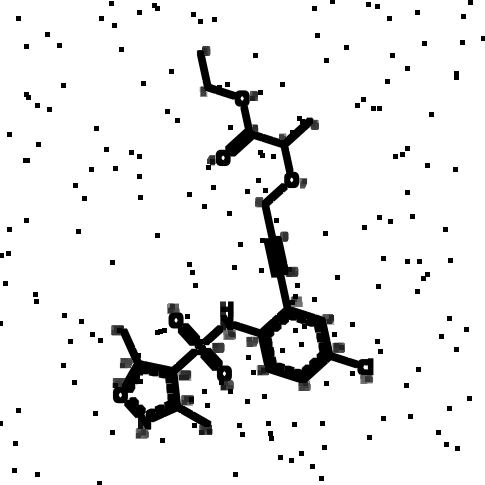 CCOC(=O)C(C)OCC#Cc1cc(Cl)ccc1NS(=O)(=O)c1c(C)noc1C